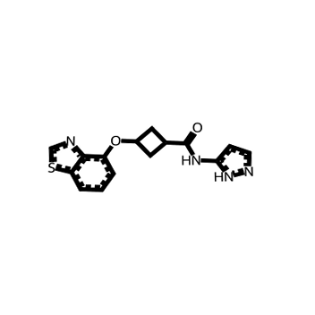 O=C(Nc1ccn[nH]1)C1CC(Oc2cccc3scnc23)C1